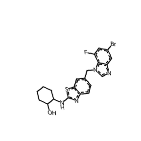 OC1CCCCC1Nc1nc2ccc(Cn3cnc4cc(Br)cc(F)c43)cc2s1